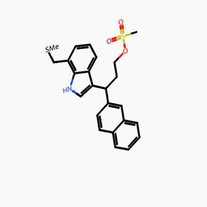 CSCc1cccc2c(C(CCOS(C)(=O)=O)c3ccc4ccccc4c3)c[nH]c12